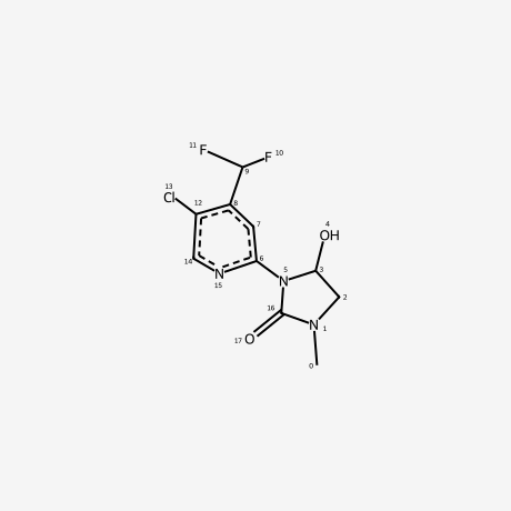 CN1CC(O)N(c2cc(C(F)F)c(Cl)cn2)C1=O